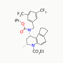 CCOC(=O)N1c2ccc3c(c2[C@@H](N(Cc2cc(C(F)(F)F)cc(C(F)(F)F)c2)C(=O)OC(C)C)C[C@H]1C)CCC3